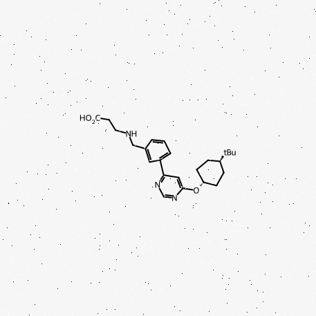 CC(C)(C)[C@H]1CC[C@H](Oc2cc(-c3cccc(CNCCC(=O)O)c3)ncn2)CC1